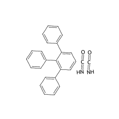 N=C=O.N=C=O.c1ccc(-c2cccc(-c3ccccc3)c2-c2ccccc2)cc1